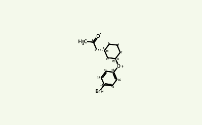 CC(=O)C[C@@H]1CCC[C@@H](Oc2ccc(Br)cc2)C1